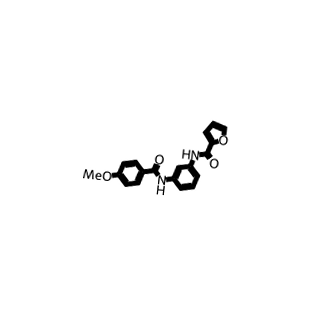 COc1ccc(C(=O)Nc2cccc(NC(=O)c3ccco3)c2)cc1